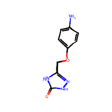 Nc1ccc(OCc2n[nH]c(=O)[nH]2)cc1